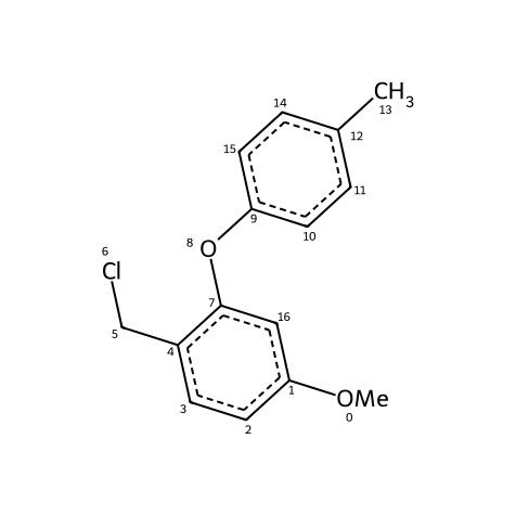 COc1ccc(CCl)c(Oc2ccc(C)cc2)c1